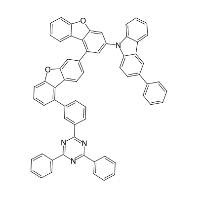 c1ccc(-c2ccc3c(c2)c2ccccc2n3-c2cc(-c3ccc4c(c3)oc3cccc(-c5cccc(-c6nc(-c7ccccc7)nc(-c7ccccc7)n6)c5)c34)c3c(c2)oc2ccccc23)cc1